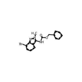 Cn1nc2c(Br)cccc2c1NC(=O)OCc1ccccc1